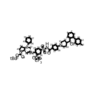 Cc1ccc(-c2ccccc2[C@H](O)C2CCN(c3ccc(C(=O)NS(=O)(=O)c4ccc(N[C@@H](CSc5ccccc5)C[C@@H]5CCCN5C(=O)OC(C)(C)C)c(S(=O)(=O)C(F)(F)F)c4)cc3)CC2)cc1